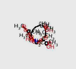 COCCOc1ccc([C@H]2C[C@@H]3CC[C@@H](C)[C@@](O)(O3)C(=O)C(=O)N3CCCC[C@H]3C(=O)O[C@H]([C@H](C)C[C@@H]3CC[C@@H](O)[C@H](OC)C3)CC(=O)[C@H](C)/C=C(\C)[C@@H](O)[C@@H](OC)C(=O)[C@H](C)C[C@H](C)/C=C/C=C/C=C/2C)c(OC)c1